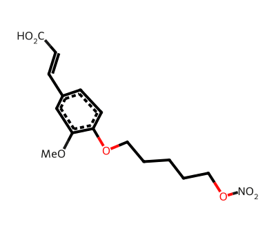 COc1cc(C=CC(=O)O)ccc1OCCCCCO[N+](=O)[O-]